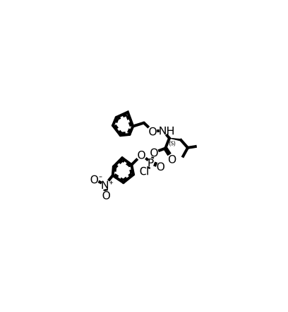 CC(C)C[C@H](NOCc1ccccc1)C(=O)OP(=O)(Cl)Oc1ccc([N+](=O)[O-])cc1